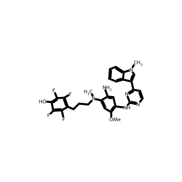 COc1cc(N(C)CCCc2c(F)c(F)c(O)c(F)c2F)c(N)cc1Nc1nccc(-c2cn(C)c3ccccc23)n1